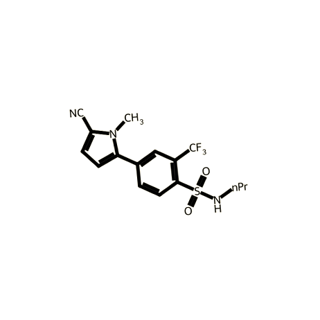 CCCNS(=O)(=O)c1ccc(-c2ccc(C#N)n2C)cc1C(F)(F)F